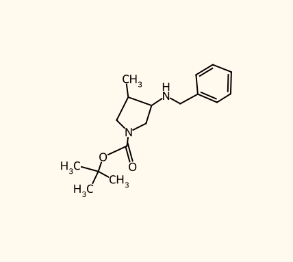 CC1CN(C(=O)OC(C)(C)C)CC1NCc1ccccc1